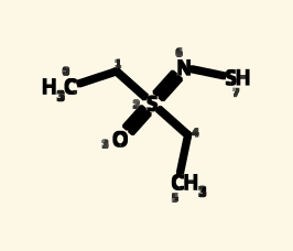 CCS(=O)(CC)=NS